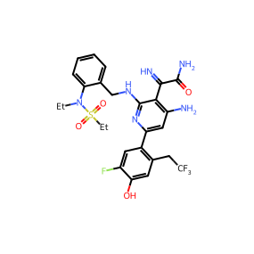 CCN(c1ccccc1CNc1nc(-c2cc(F)c(O)cc2CC(F)(F)F)cc(N)c1C(=N)C(N)=O)S(=O)(=O)CC